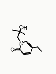 CCc1ccc(=O)n(CC(C)(C)O)c1